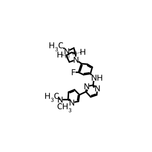 CN(C)c1ccc(-c2ccnc(Nc3ccc(N4C[C@@H]5C[C@H]4CN5C)c(F)c3)n2)cn1